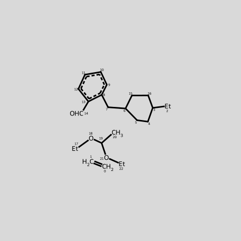 C=C.CCC1CCC(Cc2ccccc2C=O)CC1.CCOC(C)OCC